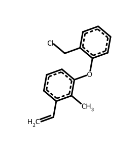 C=Cc1cccc(Oc2ccccc2CCl)c1C